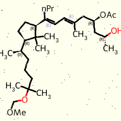 CCC/C(=C\C=C(/C)C[C@H](C[C@@H](C)O)OC(C)=O)[C@@H]1CC[C@H]([C@H](C)CCCC(C)(C)OCOC)C1(C)C